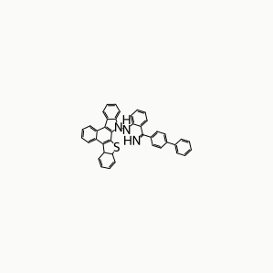 N=C(c1ccc(-c2ccccc2)cc1)c1ccccc1Nn1c2ccccc2c2c3ccccc3c3c(c21)SC1C=CC=CC31